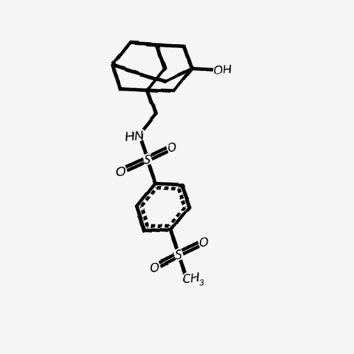 CS(=O)(=O)c1ccc(S(=O)(=O)NCC23CC4CC(CC(O)(C4)C2)C3)cc1